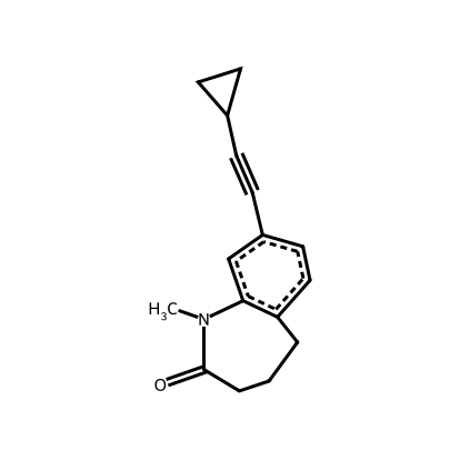 CN1C(=O)CCCc2ccc(C#CC3CC3)cc21